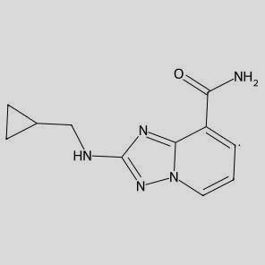 NC(=O)c1[c]ccn2nc(NCC3CC3)nc12